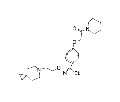 CCC(=NOCCN1CCC2(CC1)CC2)c1ccc(OCC(=O)N2CCCCC2)cc1